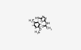 CC(=O)Nc1nnc(S)s1.COc1ccc(C)cc1